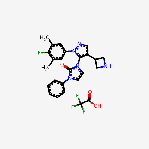 Cc1cc(-n2ncc(C3CNC3)c2-n2ccn(-c3ccccc3)c2=O)cc(C)c1F.O=C(O)C(F)(F)F